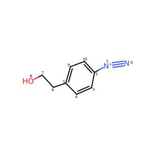 N#[N+]c1ccc(CCO)cc1